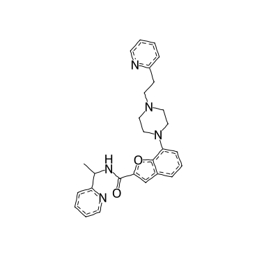 CC(NC(=O)c1cc2cccc(N3CCN(CCc4ccccn4)CC3)c2o1)c1ccccn1